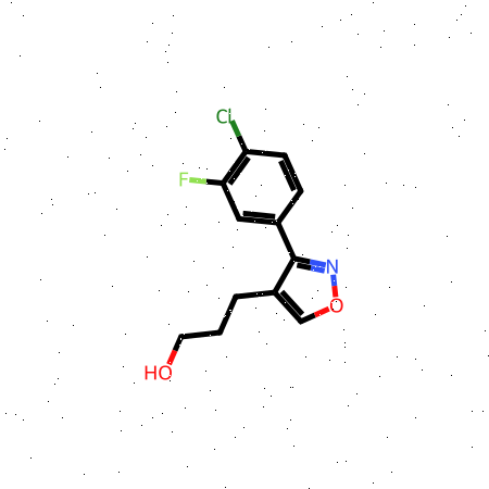 OCCCc1conc1-c1ccc(Cl)c(F)c1